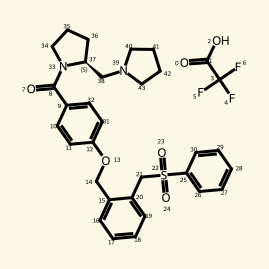 O=C(O)C(F)(F)F.O=C(c1ccc(OCc2ccccc2CS(=O)(=O)c2ccccc2)cc1)N1CCC[C@H]1CN1CCCC1